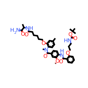 COc1cc(C(=O)N(C)c2ccc(C)cc2OCCCCCC(=O)NC(C)C(N)=O)ccc1NC(=O)c1ccccc1OCCCNC(=O)OC(C)(C)C